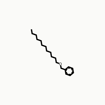 CCCCCCCCCCCCOCc1ccccc1